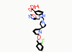 O=C(O)c1ccc2nc(CN3CCC(c4cccc(OCc5ccc(F)cc5F)n4)CC3)n(Cc3cnco3)c2c1